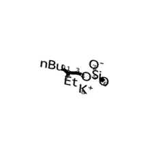 CCCCC(CC)CO[Si](=O)[O-].[K+]